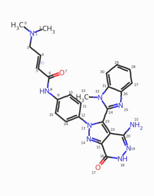 CN(C)C/C=C/C(=O)Nc1ccc(-n2nc3c(=O)[nH]nc(N)c3c2-c2nc3ccccc3n2C)cc1